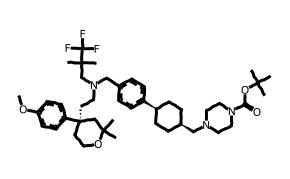 COc1ccc([C@]2(CCN(Cc3ccc([C@H]4CC[C@@H](CN5CCN(C(=O)OC(C)(C)C)CC5)CC4)cc3)CC(C)(C)C(F)(F)F)CCOC(C)(C)C2)cc1